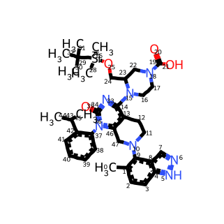 Cc1ccc2[nH]ncc2c1N1CCc2c(N3CCN(C(=O)O)CC3CO[Si](C)(C)C(C)(C)C)nc(=O)n(-c3ccccc3C(C)C)c2C1